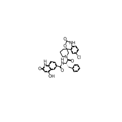 O=C1Nc2ccc(Cl)cc2C2(CCCN(C(=O)[C@H](Cc3ccccc3)NC(=O)c3ccc4[nH]c(=O)cc(O)c4c3)C2)O1